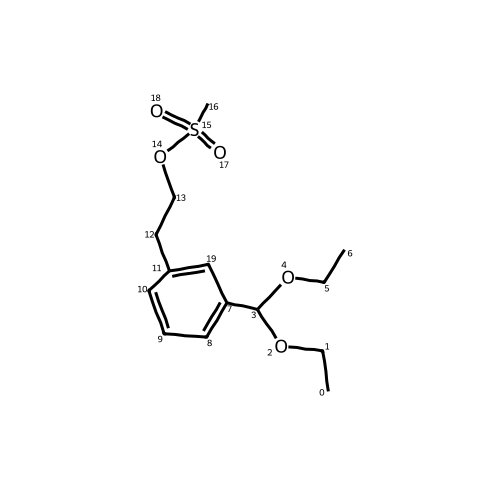 CCOC(OCC)c1cccc(CCOS(C)(=O)=O)c1